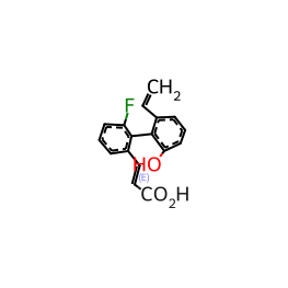 C=Cc1cccc(O)c1-c1c(F)cccc1/C=C/C(=O)O